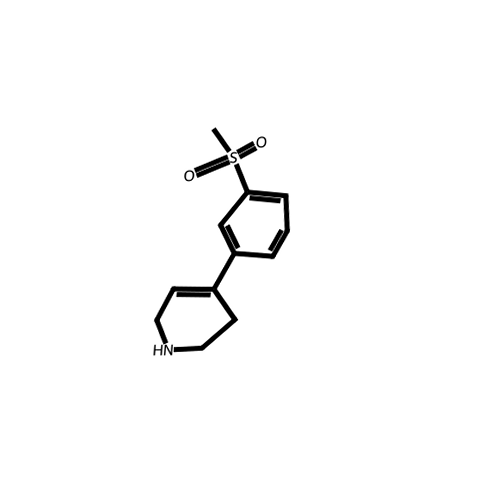 CS(=O)(=O)c1cccc(C2=CCNCC2)c1